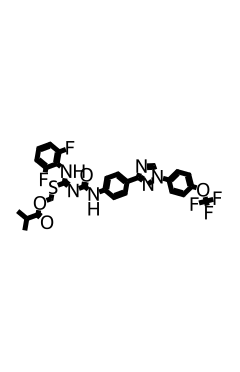 CC(C)C(=O)OCS/C(=N/C(=O)Nc1ccc(-c2ncn(-c3ccc(OC(F)(F)F)cc3)n2)cc1)Nc1c(F)cccc1F